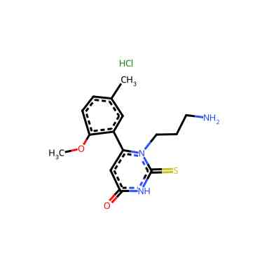 COc1ccc(C)cc1-c1cc(=O)[nH]c(=S)n1CCCN.Cl